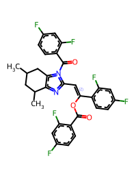 CC1Cc2c(nc(/C=C(\OC(=O)c3ccc(F)cc3F)c3ccc(F)cc3F)n2C(=O)c2ccc(F)cc2F)C(C)C1